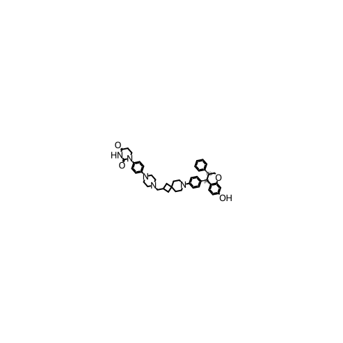 O=C1CCN(c2ccc(N3CCN(CC4CC5(CCN(c6ccc([C@@H]7c8ccc(O)cc8OC[C@@H]7c7ccccc7)cc6)CC5)C4)CC3)cc2)C(=O)N1